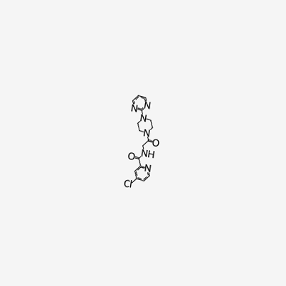 O=C(NCC(=O)N1CCN(c2ncccn2)CC1)c1cc(Cl)ccn1